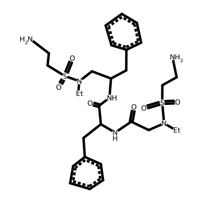 CCN(CC(=O)NC(Cc1ccccc1)C(=O)NC(Cc1ccccc1)CN(CC)S(=O)(=O)CCN)S(=O)(=O)CCN